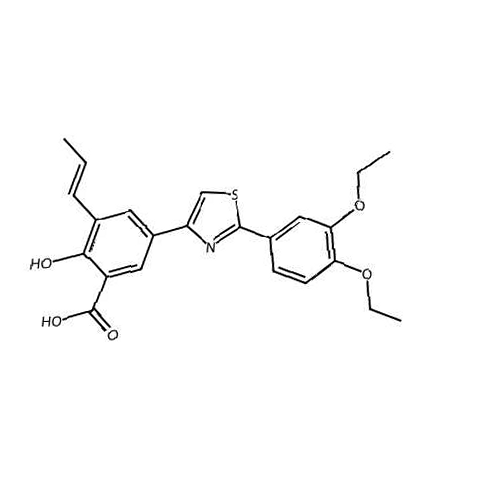 CC=Cc1cc(-c2csc(-c3ccc(OCC)c(OCC)c3)n2)cc(C(=O)O)c1O